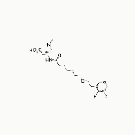 CN(C)C[C@@H](CC(=O)O)NC(=O)CCCCCCOCCc1cccc(F)c1F